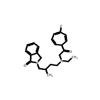 CCN(CCC(C)CN1Cc2ccccc2C1=O)CC(=O)C1C=CC=C(F)C=C1